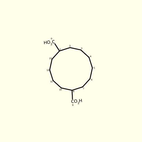 O=C(O)C1CCCCCCC(C(=O)O)CCCC1